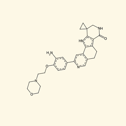 Nc1cc(-c2cc3c(cn2)CCc2c-3[nH]c3c2C(=O)NCC32CC2)ccc1OCCN1CCOCC1